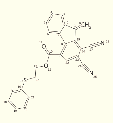 C=C1c2ccccc2-c2c(C(=O)OCCSc3ccccc3)cc(C#N)c(C#N)c21